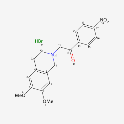 Br.COc1cc2c(cc1OC)CN(CC(=O)c1ccc([N+](=O)[O-])cc1)CC2